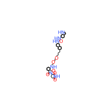 O=C1CCC(N2C(=O)c3cccc(NCCOCCOCCCCc4ccc5cc(NC(=O)Nc6ccc7cc[nH]c7c6)ccc5c4)c3C2=O)C(=O)N1